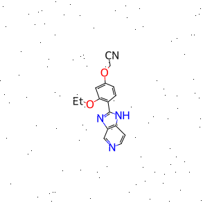 CCOc1cc(OCC#N)ccc1-c1nc2cnccc2[nH]1